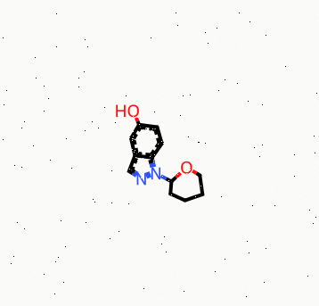 Oc1ccc2c(cnn2C2CCCCO2)c1